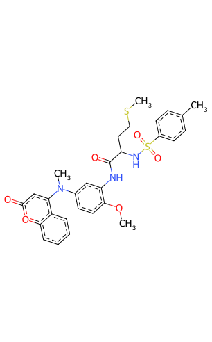 COc1ccc(N(C)c2cc(=O)oc3ccccc23)cc1NC(=O)C(CCSC)NS(=O)(=O)c1ccc(C)cc1